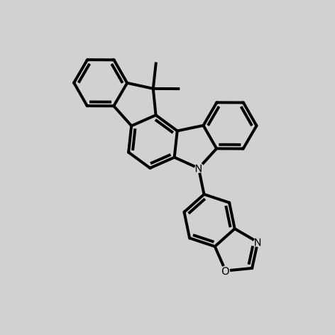 CC1(C)c2ccccc2-c2ccc3c(c21)c1ccccc1n3-c1ccc2ocnc2c1